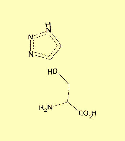 NC(CO)C(=O)O.c1c[nH]nn1